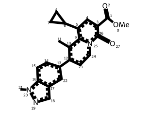 COC(=O)c1cc(C2CC2)c2c(C)c(-c3ccc4c(cnn4C)c3)ccn2c1=O